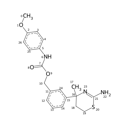 COc1ccc(NC(=O)OCc2cccc(C3(C)CCSC(N)=N3)c2)cc1